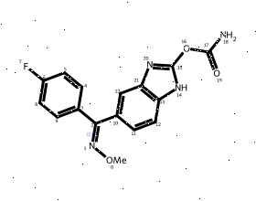 CO/N=C(/c1ccc(F)cc1)c1ccc2[nH]c(OC(N)=O)nc2c1